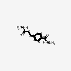 NNC(=O)CCc1ccc(C(=O)NN)cc1